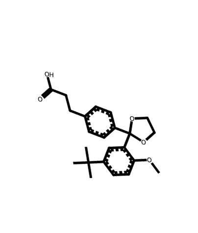 COc1ccc(C(C)(C)C)cc1C1(c2ccc(CCC(=O)O)cc2)OCCO1